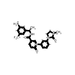 C[C@@H](NC(=O)c1ccc(=O)n(-c2cccc(N3CCN(C)C3=O)c2)c1)c1cc(N)cc(C(F)(F)F)c1